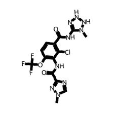 CN1NNN=C1NC(=O)c1ccc(OC(F)(F)F)c(NC(=O)c2ncn(C)n2)c1Cl